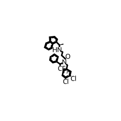 C[C@@H](NCCC(=O)N(Cc1ccc(Cl)c(Cl)c1)C(c1ccccc1)C(F)(F)F)c1cccc2ccccc12